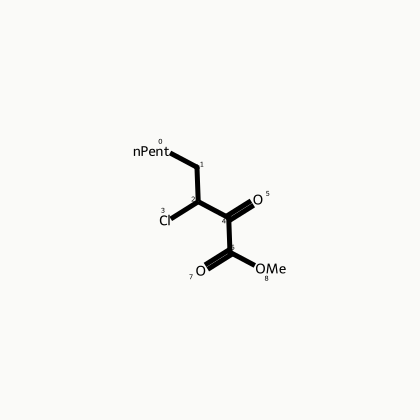 CCCCCCC(Cl)C(=O)C(=O)OC